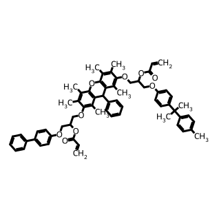 C=CC(=O)OC(COc1ccc(-c2ccccc2)cc1)COc1c(C)c(C)c2c(c1C)C(c1ccccc1)c1c(C)c(OCC(COc3ccc(C(C)(C)c4ccc(C)cc4)cc3)OC(=O)C=C)c(C)c(C)c1O2